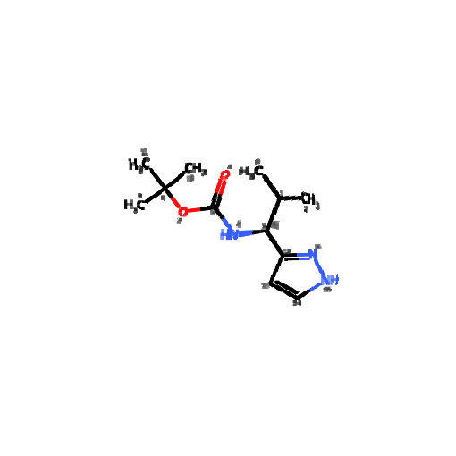 CC(C)[C@H](NC(=O)OC(C)(C)C)c1cc[nH]n1